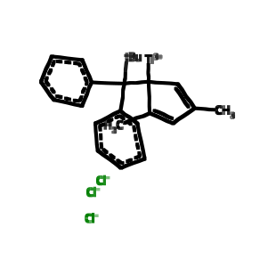 CC1=C[C]([Ti+3])(C(c2ccccc2)(c2ccccc2)C(C)(C)C)C(C)=C1.[Cl-].[Cl-].[Cl-]